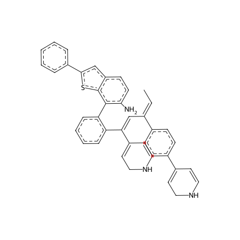 C/C=C(\C=C(C1=CCNC=C1)c1ccccc1-c1c(N)ccc2cc(-c3ccccc3)sc12)c1ccc(C2=CCNC=C2)cc1